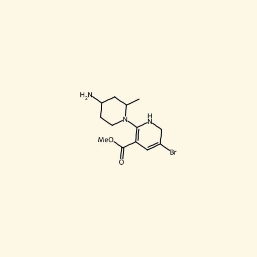 COC(=O)C1=C(N2CCC(N)CC2C)NCC(Br)=C1